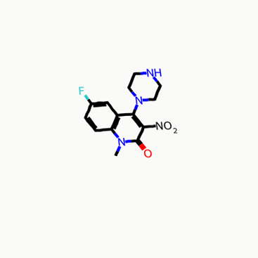 Cn1c(=O)c([N+](=O)[O-])c(N2CCNCC2)c2cc(F)ccc21